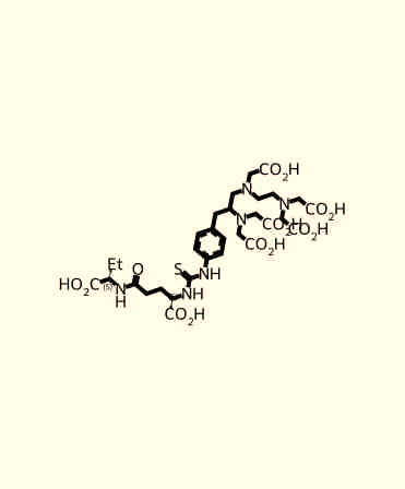 CC[C@H](NC(=O)CC[C@H](NC(=S)Nc1ccc(CC(CN(CCN(CC(=O)O)CC(=O)O)CC(=O)O)N(CC(=O)O)CC(=O)O)cc1)C(=O)O)C(=O)O